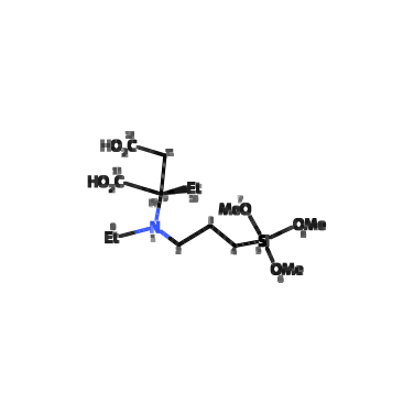 CCN(CCC[Si](OC)(OC)OC)[C@@](CC)(CC(=O)O)C(=O)O